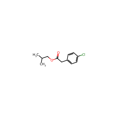 CC(C)COC(=O)Cc1ccc(Cl)cc1